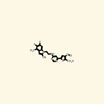 CCOc1cc(-c2cc(NCCn3c(C#N)cc4c(C)c(F)c(F)cc43)ncn2)sc1C(=O)O